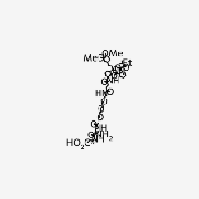 CCC(C)(C)C(=O)C(=O)N1CCCCC1C(=O)OC(CCc1ccc(OC)c(OC)c1)c1cccc(NC(=O)CCC(=O)NCCOCCOCCOCCC(=O)NC[C@@H](N)C(=O)N[C@@H](C)CC(=O)O)c1